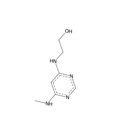 CNc1cc(NCCO)ncn1